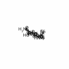 NC(=O)C=CCCC(NC(=O)O)C(=O)Nc1cccn(Cc2nc3c(OCC(F)F)cc(F)cc3[nH]2)c1=O